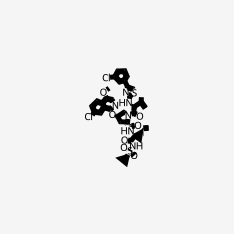 C=C[C@@H]1C[C@]1(NC(=O)[C@@H]1C[C@@H](Oc2ncc(OC)c3ccc(Cl)cc23)CN1C(=O)[C@@H](Nc1nc(-c2cccc(Cl)c2)cs1)C(=C)C)C(=O)NS(=O)(=O)C1CC1